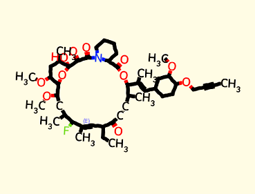 CC#CCOC1CCC(C=C(C)C2OC(=O)C3CCCCN3C(=O)C(=O)C3(O)OC(C(OC)CC(C)C(F)/C(C)=C/C(CC)C(=O)CCC2C)C(OC)CC3C)CC1OC